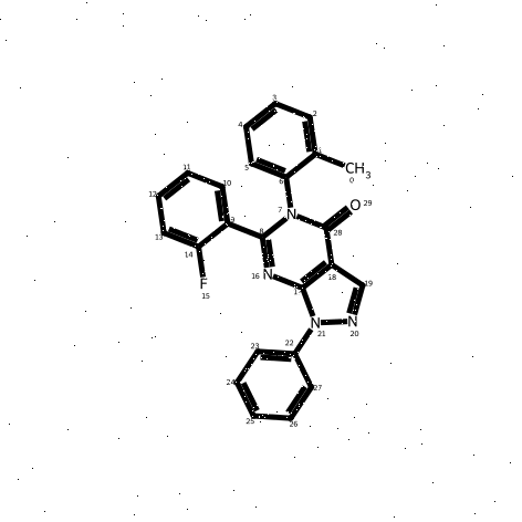 Cc1ccccc1-n1c(-c2ccccc2F)nc2c(cnn2-c2ccccc2)c1=O